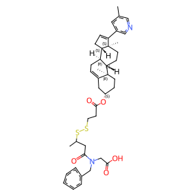 Cc1cncc(C2=CC[C@H]3[C@@H]4CC=C5C[C@@H](OC(=O)CCSSC(C)CC(=O)N(CC(=O)O)Cc6ccccc6)CC[C@]5(C)[C@H]4CC[C@]23C)c1